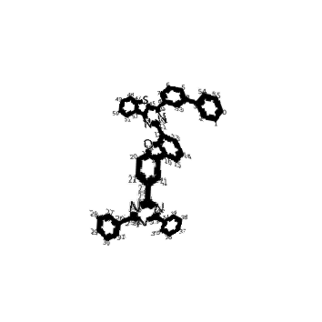 c1ccc(-c2cccc(-c3nc(-c4cccc5c4oc4ccc(-c6nc(-c7ccccc7)nc(-c7ccccc7)n6)cc45)nc4c3sc3ccccc34)c2)cc1